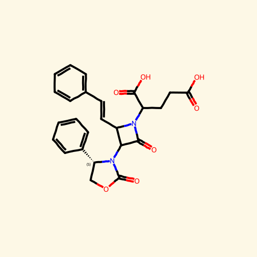 O=C(O)CCC(C(=O)O)N1C(=O)C(N2C(=O)OC[C@@H]2c2ccccc2)C1C=Cc1ccccc1